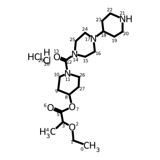 CCOC(C)C(=O)OC1CCN(C(=O)N2CCN(C3CCNCC3)CC2)CC1.Cl.Cl